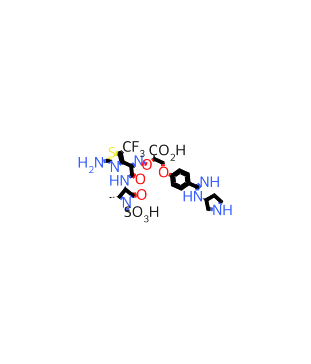 C[C@@H]1[C@H](NC(=O)/C(=N\O[C@@H](COc2ccc(C(=N)N[C@@H]3CCNC3)cc2)C(=O)O)c2nc(N)sc2C(F)(F)F)C(=O)N1S(=O)(=O)O